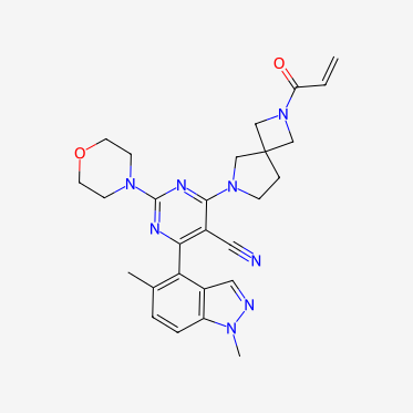 C=CC(=O)N1CC2(CCN(c3nc(N4CCOCC4)nc(-c4c(C)ccc5c4cnn5C)c3C#N)C2)C1